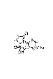 O=C1CSC(S(=O)(=O)O)N1c1ccc(I)cc1